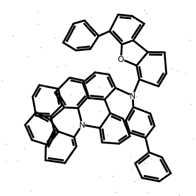 c1ccc(-c2ccc(N(c3ccccc3-c3ccccc3N(c3ccccc3-c3ccccc3)c3ccccc3-c3ccccc3)c3cccc4c3oc3c(-c5ccccc5)cccc34)cc2)cc1